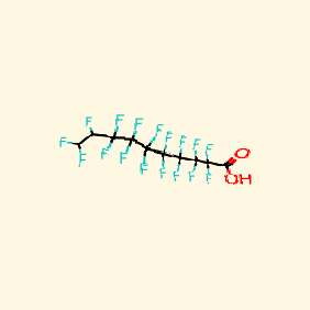 O=C(O)C(F)(F)C(F)(F)C(F)(F)C(F)(F)C(F)(F)C(F)(F)C(F)(F)C(F)C(F)F